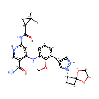 COc1c(Nc2cc(NC(=O)C3CC3(C)C)ncc2C(N)=O)cccc1-c1cnn([C@H]2CCC23OCCO3)c1